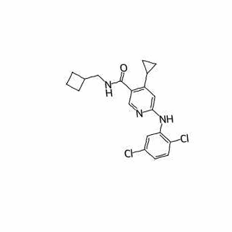 O=C(NCC1CCC1)c1cnc(Nc2cc(Cl)ccc2Cl)cc1C1CC1